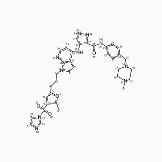 Cc1oc(CCCn2ccc3c(Nc4c[nH]nc4C(=O)Nc4ccc(CN5CCN(C)CC5)cc4)ncnc32)cc1S(=O)(=O)n1cncn1